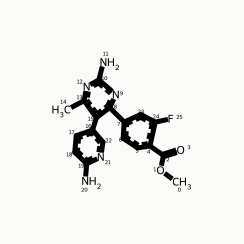 COC(=O)c1ccc(-c2nc(N)nc(C)c2-c2ccc(N)nc2)cc1F